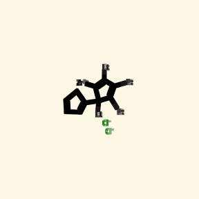 CCC1=[C]([Zr+2])C(CC)(C2=CC=CC2)C(CC)=C1CC.[Cl-].[Cl-]